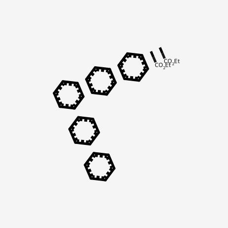 CCOC(C)=O.CCOC(C)=O.c1ccccc1.c1ccccc1.c1ccccc1.c1ccccc1.c1ccccc1